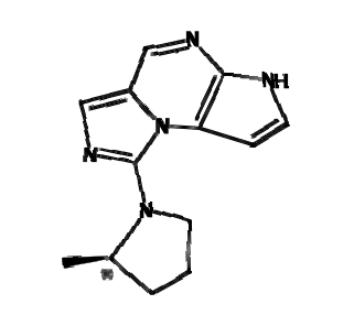 C[C@@H]1CCCN1c1ncc2cnc3[nH]ccc3n12